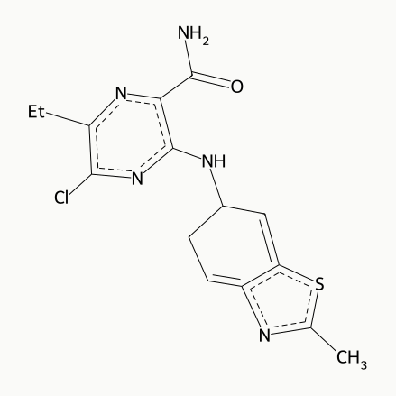 CCc1nc(C(N)=O)c(NC2C=c3sc(C)nc3=CC2)nc1Cl